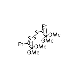 CCC(SSSC(CC)[SiH](OC)OC)[SiH](OC)OC